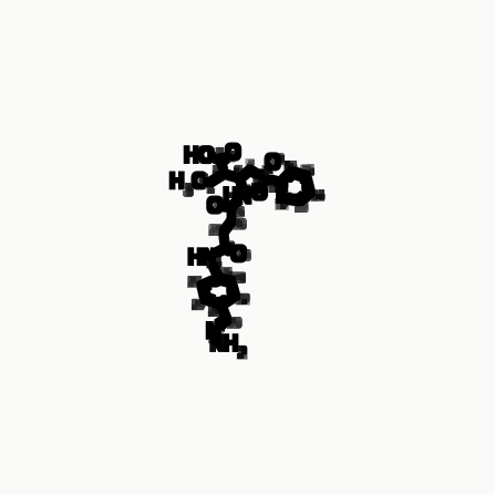 CCC(C(=O)O)C(CS(=O)(=O)c1ccccc1)NC(=O)CCC(=O)Nc1ccc(C=NN)cc1